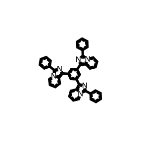 c1ccc(-c2nc(-c3cc(-c4nc(-c5ccccc5)n5ccccc45)cc(-c4nc(-c5ccccc5)n5ccccc45)c3)c3ccccn23)cc1